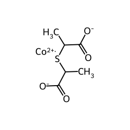 CC(SC(C)C(=O)[O-])C(=O)[O-].[Co+2]